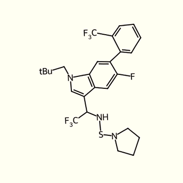 CC(C)(C)Cn1cc(C(NSN2CCCC2)C(F)(F)F)c2cc(F)c(-c3ccccc3C(F)(F)F)cc21